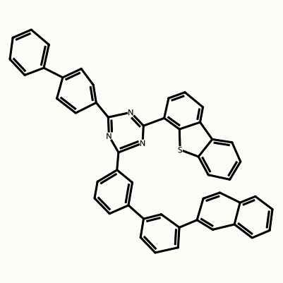 c1ccc(-c2ccc(-c3nc(-c4cccc(-c5cccc(-c6ccc7ccccc7c6)c5)c4)nc(-c4cccc5c4sc4ccccc45)n3)cc2)cc1